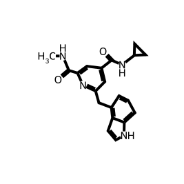 CNC(=O)c1cc(C(=O)NC2CC2)cc(Cc2cccc3[nH]ccc23)n1